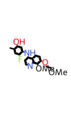 COCCOc1ccc2c(Nc3cc(O)c(C)cc3F)ccnc2c1OC